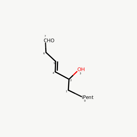 CCCC(C)CC(O)/C=C/CC=O